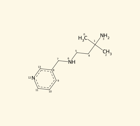 CC(C)(N)CCNCc1cccnc1